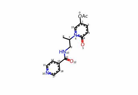 CC(=O)Oc1ccc(=O)n(C(C)CNC(=O)c2ccncc2)c1